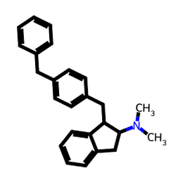 CN(C)C1Cc2ccccc2C1Cc1ccc(Cc2ccccc2)cc1